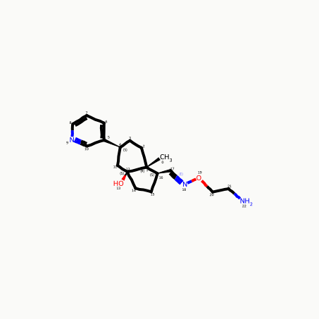 C[C@]12CC[C@H](c3cccnc3)C[C@@]1(O)CC[C@@H]2/C=N/OCCN